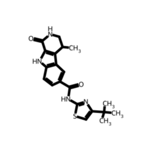 CC1CNC(=O)c2[nH]c3ccc(C(=O)Nc4nc(C(C)(C)C)cs4)cc3c21